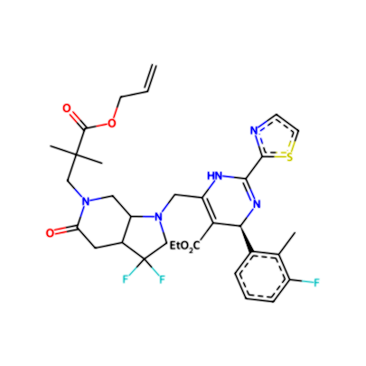 C=CCOC(=O)C(C)(C)CN1CC2C(CC1=O)C(F)(F)CN2CC1=C(C(=O)OCC)[C@H](c2cccc(F)c2C)N=C(c2nccs2)N1